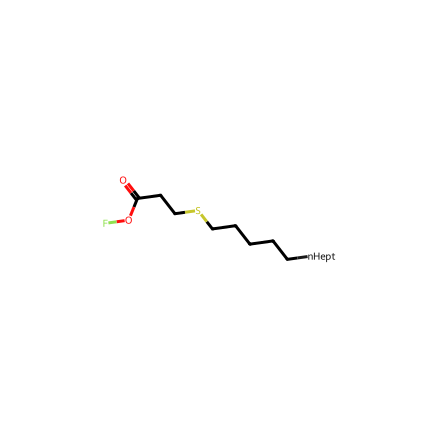 CCCCCCCCCCCCSCCC(=O)OF